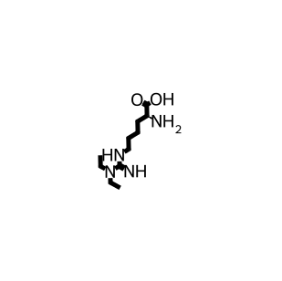 CCN(CC)C(=N)NCCCC[C@@H](N)C(=O)O